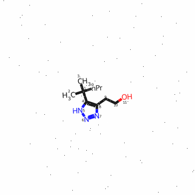 CCCC(C)(C)c1[nH]nnc1CCO